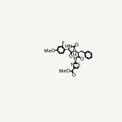 COC(=O)c1csc(NC(=O)[C@H](Cc2ccccc2)N2C(=O)N[C@H](c3ccc(OC)cc3F)C2=O)n1